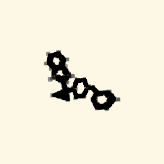 c1ccc(CN2CCN(C3(c4nc5ccccc5o4)CC3)CC2)cc1